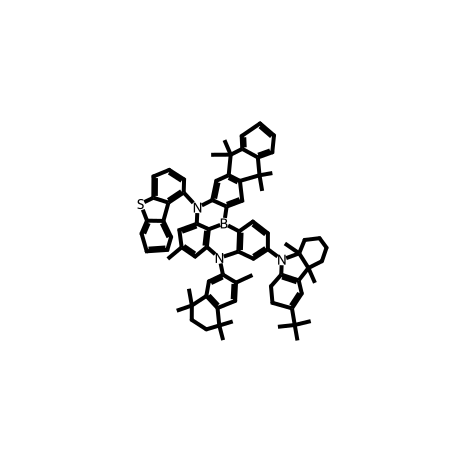 Cc1cc2c3c(c1)N(c1cccc4sc5ccccc5c14)c1cc4c(cc1B3c1ccc(N3C5=C(C=C(C(C)(C)C)CC5)C5(C)CCCCC35C)cc1N2c1cc2c(cc1C)C(C)(C)CCC2(C)C)C(C)(C)c1ccccc1C4(C)C